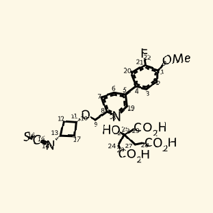 COc1ccc(-c2ccc(CO[C@H]3C[C@@H](N=C=S)C3)nc2)cc1F.O=C(O)CC(O)(CC(=O)O)C(=O)O